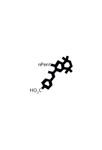 CCCCCc1cc2c(cc1/C(C)=C/c1ccc(C(=O)O)cc1)C(C)(C)CCC2(C)C